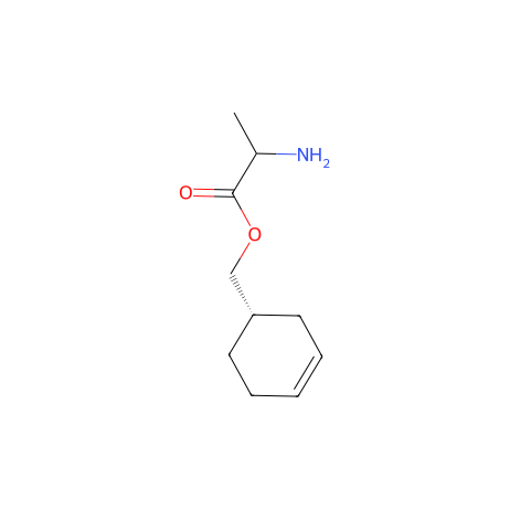 CC(N)C(=O)OC[C@@H]1CC=CCC1